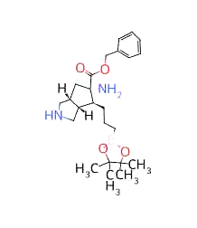 CC1(C)OB(CCC[C@H]2[C@@H]3CNC[C@@H]3C[C@@]2(N)C(=O)OCc2ccccc2)OC1(C)C